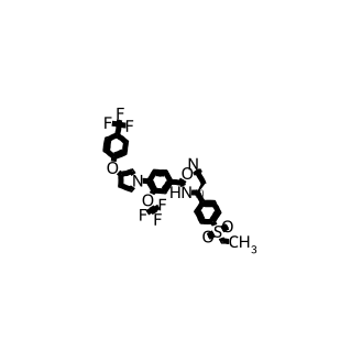 CCS(=O)(=O)c1ccc([C@H](CC#N)NC(=O)c2ccc(N3CCC(OC4=CCC(C(F)(F)F)C=C4)C3)c(OC(F)(F)F)c2)cc1